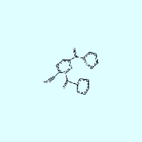 C#Cc1cnc(C(=O)c2ccccc2)nc1C(=O)c1ccccc1